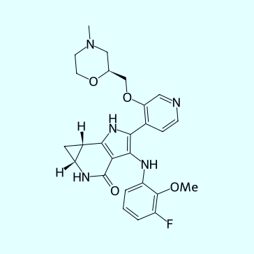 COc1c(F)cccc1Nc1c(-c2ccncc2OC[C@@H]2CN(C)CCO2)[nH]c2c1C(=O)N[C@@H]1C[C@H]21